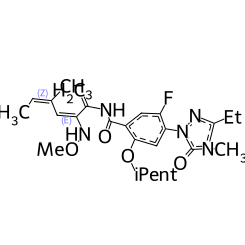 C=C(NC(=O)c1cc(F)c(-n2nc(CC)n(C)c2=O)cc1OC(C)CCC)/C(=C\C(C)=C/C)NOC